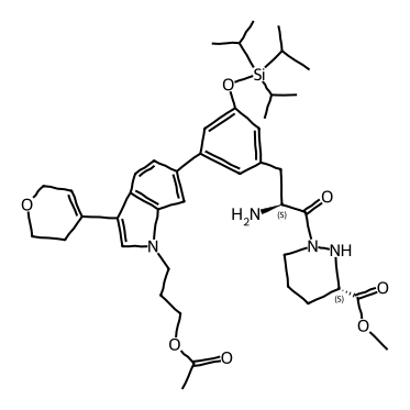 COC(=O)[C@@H]1CCCN(C(=O)[C@@H](N)Cc2cc(O[Si](C(C)C)(C(C)C)C(C)C)cc(-c3ccc4c(C5=CCOCC5)cn(CCCOC(C)=O)c4c3)c2)N1